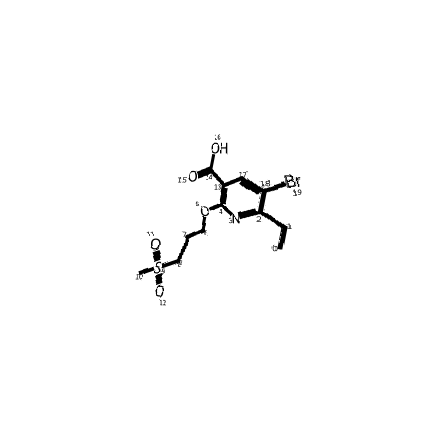 CCc1nc(OCCCS(C)(=O)=O)c(C(=O)O)cc1Br